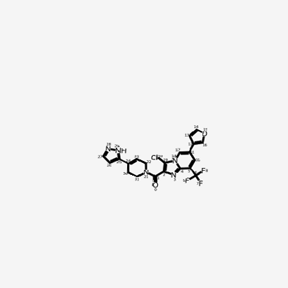 O=C(c1nc2c(C(F)(F)F)cc(-c3ccoc3)cn2c1Cl)N1CC=C(c2ccn[nH]2)CC1